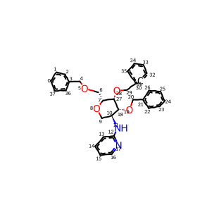 c1ccc(COC[C@H]2OC[C@H](Nc3ccccn3)[C@@H](OCc3ccccc3)[C@H]2OCc2ccccc2)cc1